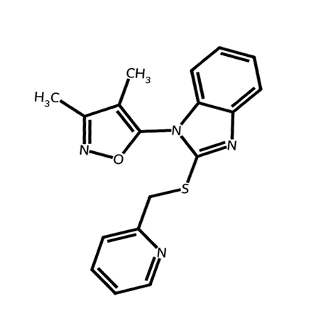 Cc1noc(-n2c(SCc3ccccn3)nc3ccccc32)c1C